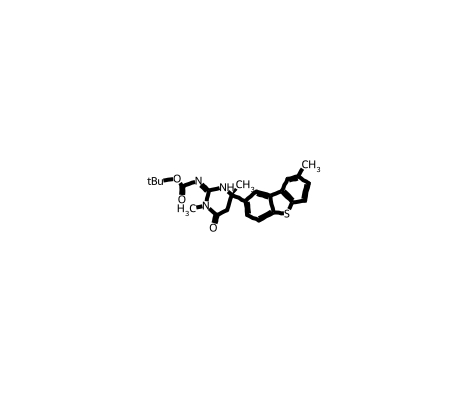 Cc1ccc2sc3ccc([C@]4(C)CC(=O)N(C)/C(=N\C(=O)OC(C)(C)C)N4)cc3c2c1